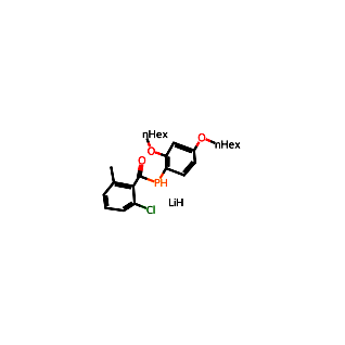 CCCCCCOc1ccc(PC(=O)c2c(C)cccc2Cl)c(OCCCCCC)c1.[LiH]